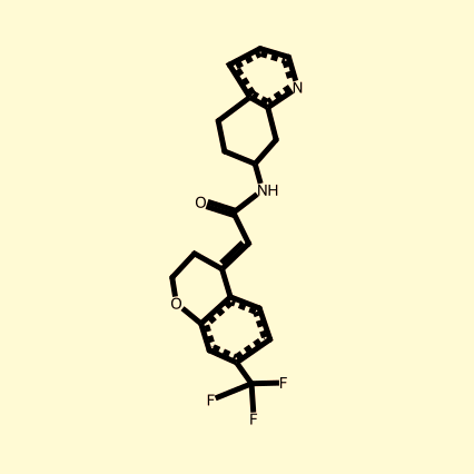 O=C(/C=C1\CCOc2cc(C(F)(F)F)ccc21)NC1CCc2cccnc2C1